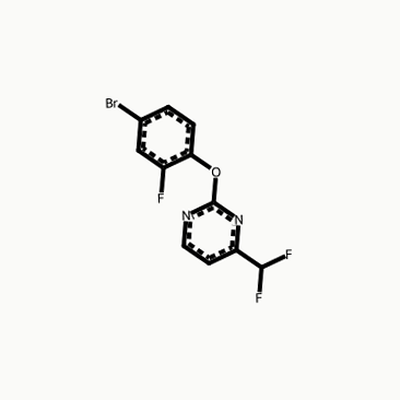 Fc1cc(Br)ccc1Oc1nccc(C(F)F)n1